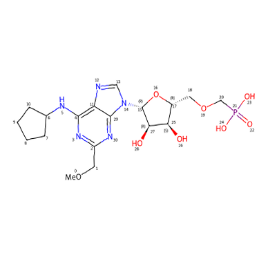 COCc1nc(NC2CCCC2)c2ncn([C@@H]3O[C@H](COCP(=O)(O)O)[C@@H](O)[C@H]3O)c2n1